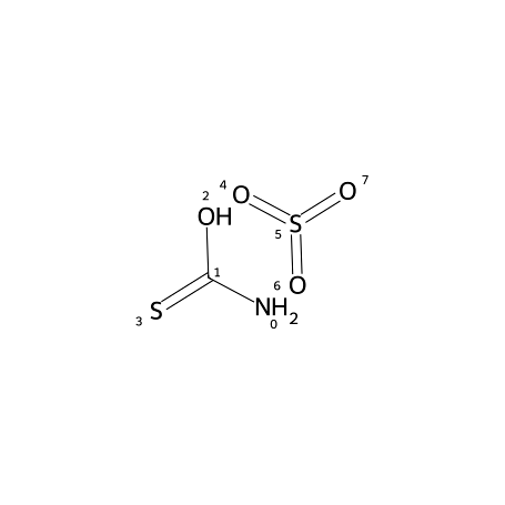 NC(O)=S.O=S(=O)=O